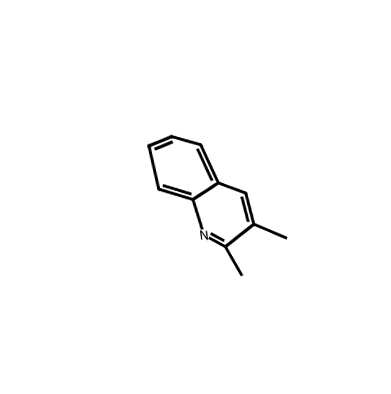 Cc1cc2ccccc2nc1C